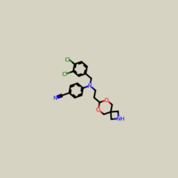 N#Cc1ccc(N(CCC2OCC3(CNC3)CO2)Cc2ccc(Cl)c(Cl)c2)cc1